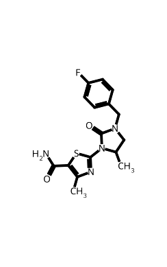 Cc1nc(N2C(=O)N(Cc3ccc(F)cc3)CC2C)sc1C(N)=O